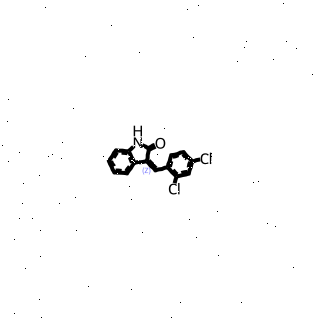 O=C1Nc2ccccc2/C1=C/c1ccc(Cl)cc1Cl